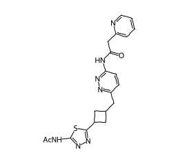 CC(=O)Nc1nnc(C2CC(Cc3ccc(NC(=O)Cc4ccccn4)nn3)C2)s1